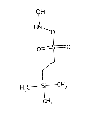 C[Si](C)(C)CCS(=O)(=O)ONO